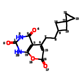 O=c1[nH]c(=O)c2c(CCC3CC4(CC4)C3)cc(=O)oc2[nH]1